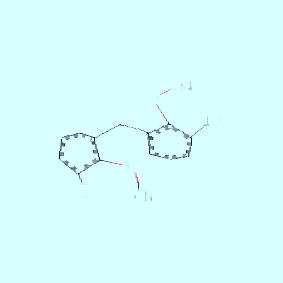 CCc1cccc(Cc2cccc(CC)c2OC#N)c1OC#N